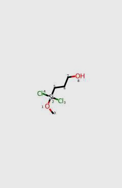 CO[Si](Cl)(Cl)CCCO